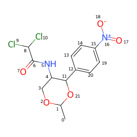 CC1OCC(NC(=O)C(Cl)Cl)C(c2ccc([N+](=O)[O-])cc2)O1